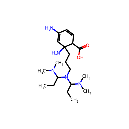 CCC(N(C)C)N(CCCC1(N)C=C(N)C=CC1C(=O)O)C(CC)N(C)C